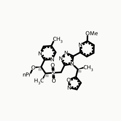 CCCO[C@@H](c1ncc(C)cn1)[C@H](C)S(=O)(=O)Cc1nnc(-c2cccc(OC)n2)n1[C@@H](C)c1ccno1